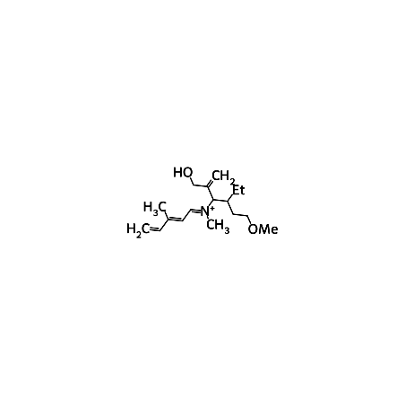 C=C/C(C)=C/C=[N+](\C)C(C(=C)CO)C(CC)CCOC